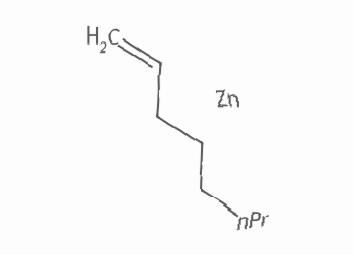 [CH2]CCCCCC=C.[Zn]